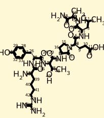 CC(C)C[C@@H](NC(=O)[C@@H](CCC(=O)O)N1CC[C@@H](NC(=O)[C@H](NC(=O)[C@@H](Cc2ccc(O)cc2)NC(=O)[C@H](N)CCCCNC(=N)N)[C@@H](C)O)C1=O)C(=O)N[C@H](C)C(N)=O